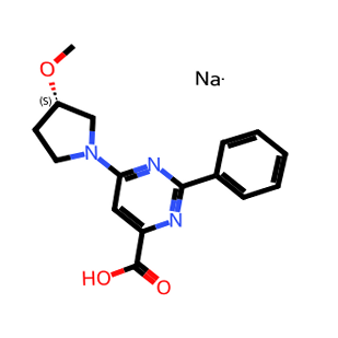 CO[C@H]1CCN(c2cc(C(=O)O)nc(-c3ccccc3)n2)C1.[Na]